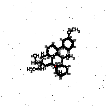 CNC1=CC(NC)(NC)Nc2ccc(-c3cccc(OC)c3)c(C(N)c3ccccc3)c21